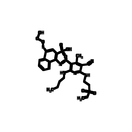 C=CS(=O)(=O)CCNc1nc(NCCCC)c(/N=N/c2c(S(=O)(=O)O)cc(SOOO)c3ccccc23)c(C)c1C#N